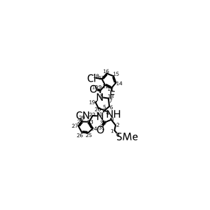 CSCCC1NC2(CCN(C(=O)c3c(F)cccc3Cl)CC2)N(Cc2ccccc2C#N)C1=O